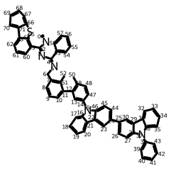 C=N/C(=N\C(=N/Cc1cccc(-c2cc(-n3c4ccccc4c4cc(-c5ccc6c(c5)c5ccccc5n6-c5ccccc5)ccc43)ccc2C)c1C)c1ccccc1)c1cccc2c1sc1ccccc12